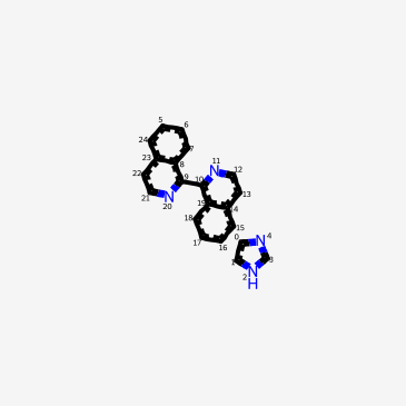 c1c[nH]cn1.c1ccc2c(-c3nccc4ccccc34)nccc2c1